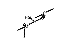 CCCCCCCCSC(CCCCCCC)O[Si](C)(C)OCCCCCCN(CCCCO)CCCCCCOC(=O)C(CCCCCC)CCCCCCCC